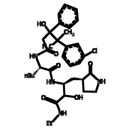 CCCC[C@H](NC(=O)CC(O)(c1ccccc1)C(C)(C)c1cccc(Cl)c1)C(=O)N[C@@H](C[C@@H]1CCNC1=O)C(O)C(=O)NCC